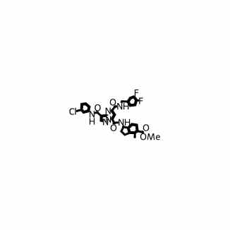 COC(=O)c1ccc2c(c1C)CCC2NC(=O)c1cc(C(=O)NCc2ccc(F)c(F)c2)nc2c(C(=O)Nc3cccc(Cl)c3)cnn12